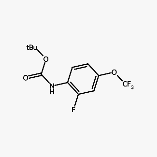 CC(C)(C)OC(=O)Nc1ccc(OC(F)(F)F)cc1F